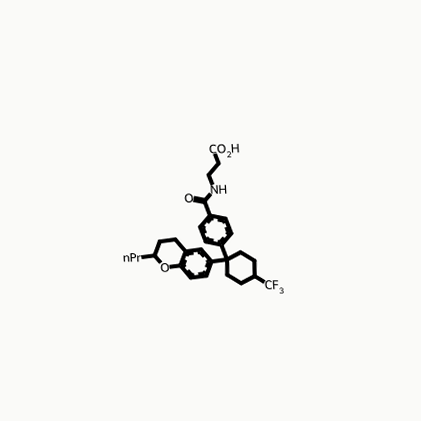 CCCC1CCc2cc(C3(c4ccc(C(=O)NCCC(=O)O)cc4)CCC(C(F)(F)F)CC3)ccc2O1